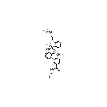 CNCCOc1ccccc1C(C)(C)Nc1nccn(-c2cc(C(=O)NCCF)ccc2C)c1=O